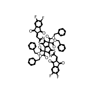 O=C1C(=Cc2nc3c(s2)C2=C(c4sc(C=C5C(=O)c6cc(F)c(F)cc6C5=O)nc4C2(C(=O)OCc2ccccc2)C(=O)OCc2ccccc2)C3(C(=O)OCc2ccccc2)C(=O)OCc2ccccc2)C(=O)c2cc(F)c(F)cc21